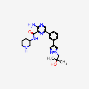 CC(C)(O)Cn1cc(-c2cccc(-c3cnc(N)c(C(=O)NC4CCCNC4)n3)c2)cn1